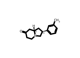 Cc1cccc([C@@H]2C[C@H]3CC(=O)CCN3C2)c1